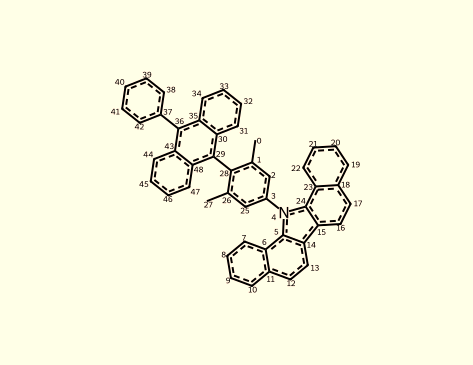 Cc1cc(-n2c3c4ccccc4ccc3c3ccc4ccccc4c32)cc(C)c1-c1c2ccccc2c(-c2ccccc2)c2ccccc12